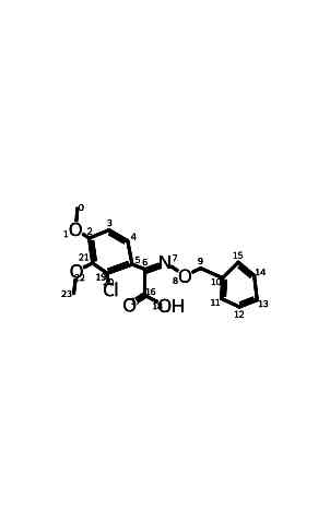 COc1ccc(C(=NOCc2ccccc2)C(=O)O)c(Cl)c1OC